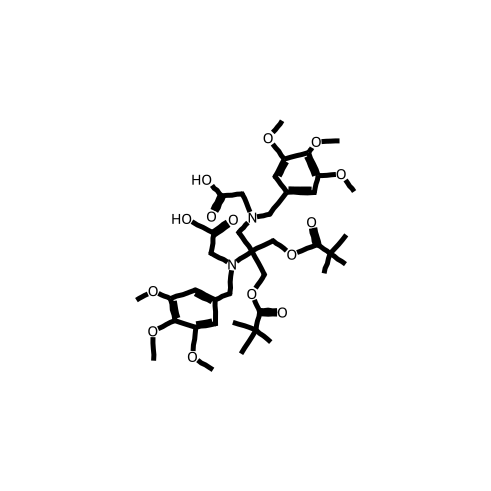 COc1cc(CN(CC(=O)O)CC(COC(=O)C(C)(C)C)(COC(=O)C(C)(C)C)N(CC(=O)O)Cc2cc(OC)c(OC)c(OC)c2)cc(OC)c1OC